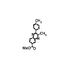 COC(=O)c1ccc2nc(-c3ccc(C)cc3)c(C)nc2c1